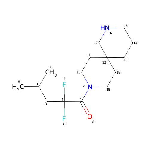 CC(C)CC(F)(F)C(=O)N1CCC2(CCCNC2)CC1